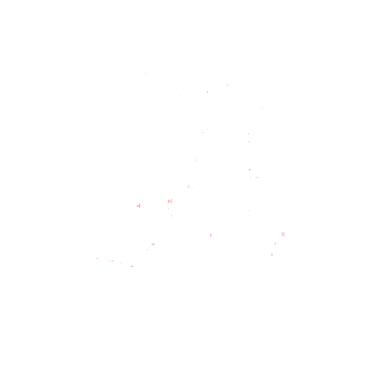 CC(=O)CC(=O)O.CC(=O)CC(=O)O.CC(=O)CC(=O)O.CC(=O)CC(=O)O.CC(=O)CC(=O)O.OCC(CO)(CO)COCC(CO)(CO)CO